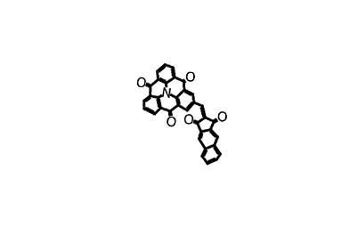 O=C1C(=Cc2cc3c(=O)c4cccc5c(=O)c6cccc7c(=O)c(c2)c3n(c54)c67)C(=O)c2cc3ccccc3cc21